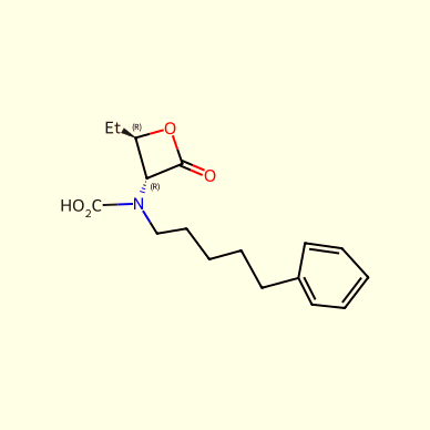 CC[C@H]1OC(=O)[C@@H]1N(CCCCCc1ccccc1)C(=O)O